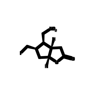 O=C1C[C@@H]2[C@H](C[N+](=O)[O-])[C@H](CI)C[C@@H]2O1